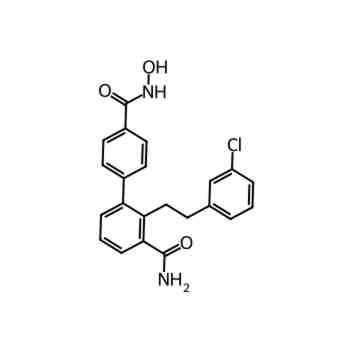 NC(=O)c1cccc(-c2ccc(C(=O)NO)cc2)c1CCc1cccc(Cl)c1